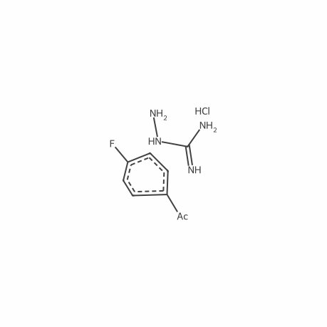 CC(=O)c1ccc(F)cc1.Cl.N=C(N)NN